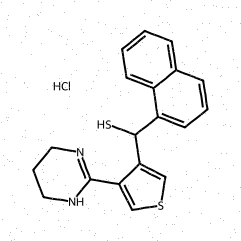 Cl.SC(c1cscc1C1=NCCCN1)c1cccc2ccccc12